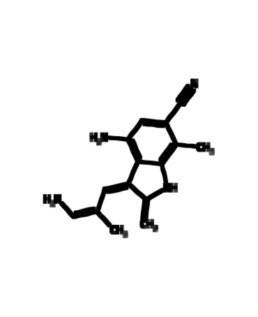 C=c1[nH]c2c(C)c(C#N)cc(N)c2/c1=C/C(C)=C\N